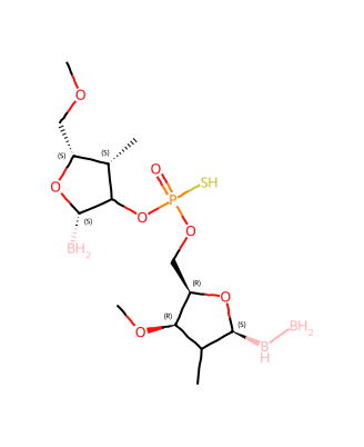 BB[C@@H]1O[C@H](COP(=O)(S)OC2[C@H](B)O[C@H](COC)[C@@H]2C)[C@H](OC)C1C